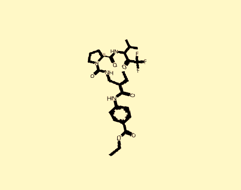 CCOC(=O)c1ccc(NC(=O)C(CC)CNC(=O)N2CCC[C@H]2C(=O)NC(C(=O)C(F)(F)F)C(C)C)cc1